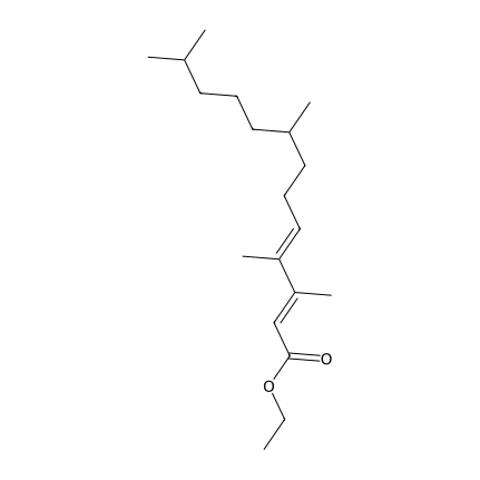 CCOC(=O)/C=C(C)/C(C)=C/CCC(C)CCCC(C)C